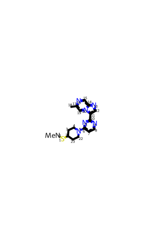 CNSC1CCN(c2ccnc(-c3cnc4cnc(C)cn34)n2)CC1